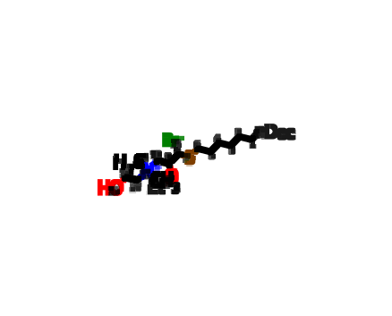 CCCCCCCCCCCCCCCCSCC(C[N+](C)(C)CCO)OCC.[Br-]